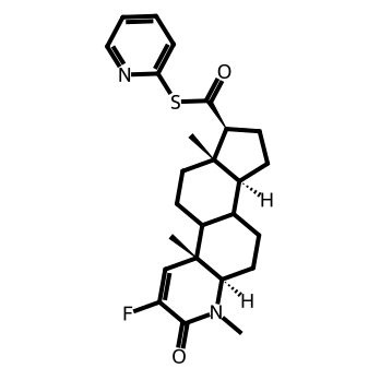 CN1C(=O)C(F)=C[C@]2(C)C3CC[C@]4(C)[C@@H](C(=O)Sc5ccccn5)CC[C@H]4C3CC[C@@H]12